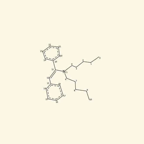 CCCCCN(CCCCC)C(=Cc1ccccc1)c1ccccc1